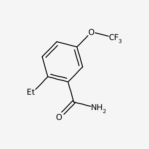 CCc1ccc(OC(F)(F)F)cc1C(N)=O